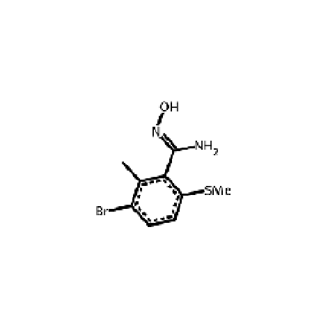 CSc1ccc(Br)c(C)c1C(N)=NO